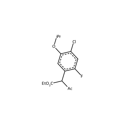 CCOC(=O)C(C(C)=O)c1cc(OC(C)C)c(Cl)cc1F